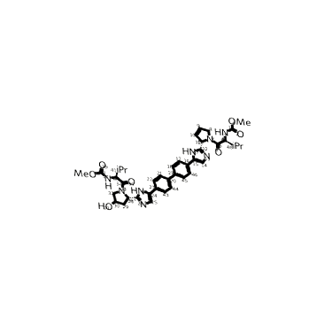 COC(=O)N[C@H](C(=O)N1CC=C[C@H]1c1ncc(-c2ccc(-c3ccc(-c4cnc([C@@H]5CC(O)CN5C(=O)[C@@H](NC(=O)OC)C(C)C)[nH]4)cc3)cc2)[nH]1)C(C)C